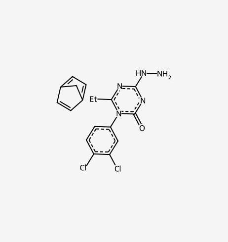 C1=CC2=CC=C1C2.CCc1nc(NN)nc(=O)n1-c1ccc(Cl)c(Cl)c1